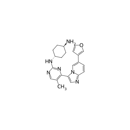 Cc1cnc(N[C@H]2CC[C@H](N)CC2)nc1-c1cnc2ccc(-c3ccoc3)cn12